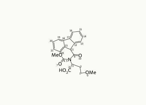 COCCC(C(=O)O)N(C(=O)OC)C(=O)C1c2ccccc2-c2ccccc21